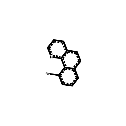 [Be][c]1cccc2ccc3cccnc3c12